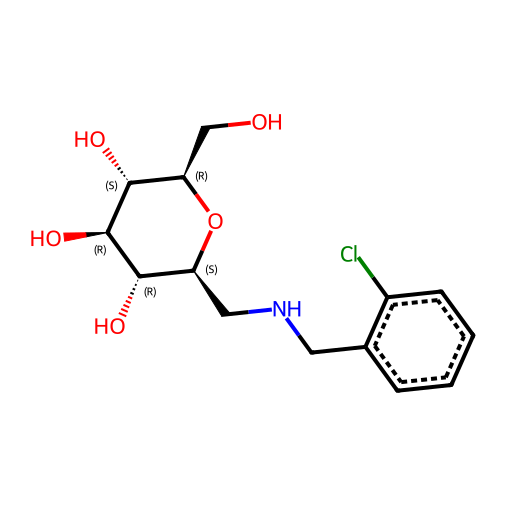 OC[C@H]1O[C@@H](CNCc2ccccc2Cl)[C@H](O)[C@@H](O)[C@@H]1O